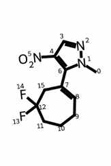 Cn1ncc([N+](=O)[O-])c1C1=CCCCC(F)(F)C1